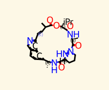 CC1/C=C/c2cc3cc(ccc3cn2)[C@@H](C)NC(=O)[C@@H]2CCCN(N2)C(=O)[C@H](C)NC(=O)[C@H](C(C)C)OC1=O